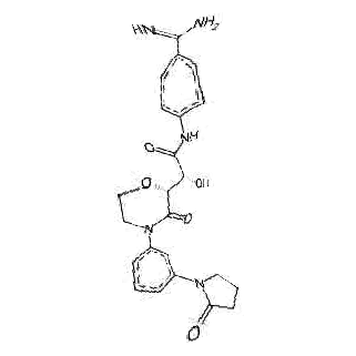 N=C(N)c1ccc(NC(=O)[C@H](O)[C@H]2OCCN(c3cccc(N4CCCC4=O)c3)C2=O)cc1